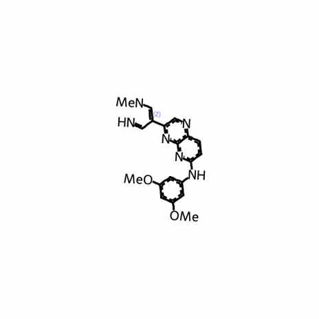 CN/C=C(\C=N)c1cnc2ccc(Nc3cc(OC)cc(OC)c3)nc2n1